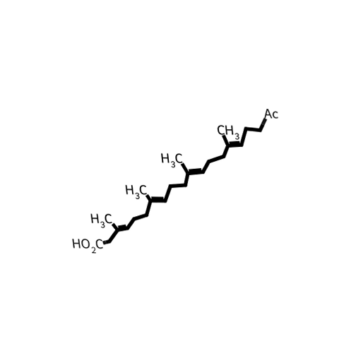 CC(=O)CC/C=C(\C)CC/C=C(\C)CC/C=C(\C)CC/C=C(\C)CC(=O)O